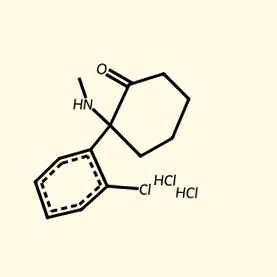 CNC1(c2ccccc2Cl)CCCCC1=O.Cl.Cl